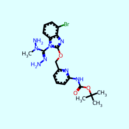 CN(N)/C(=N\N)n1c(OCc2cccc(NC(=O)OC(C)(C)C)n2)nc2c(Br)cccc21